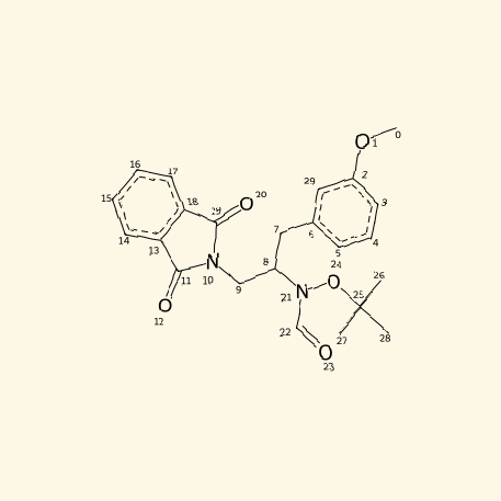 COc1cccc(CC(CN2C(=O)c3ccccc3C2=O)N(C=O)OC(C)(C)C)c1